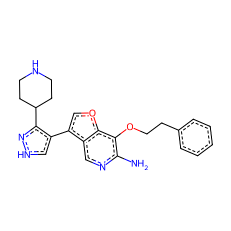 Nc1ncc2c(-c3c[nH]nc3C3CCNCC3)coc2c1OCCc1ccccc1